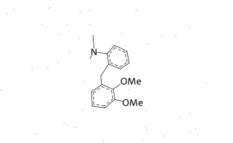 COc1cccc(Cc2ccccc2N(C)C)c1OC